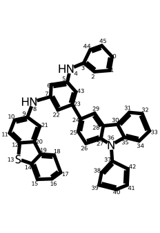 c1ccc(Nc2cc(Nc3ccc4sc5ccccc5c4c3)cc(-c3ccc4c(c3)c3ccccc3n4-c3ccccc3)c2)cc1